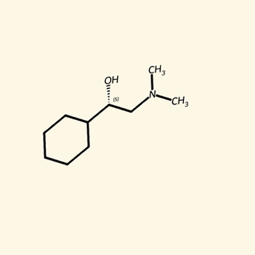 CN(C)C[C@@H](O)C1CCCCC1